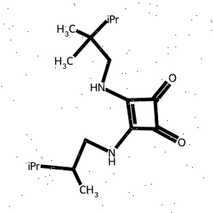 CC(C)C(C)CNc1c(NCC(C)(C)C(C)C)c(=O)c1=O